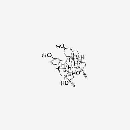 C#C[C@]1(O)CC[C@H]2[C@@H]3CCC4=C[C@@H](O)CC[C@@H]4[C@H]3CC[C@@]21C.C#C[C@]1(O)CC[C@H]2[C@@H]3CCc4cc(O)ccc4[C@H]3CC[C@@]21C